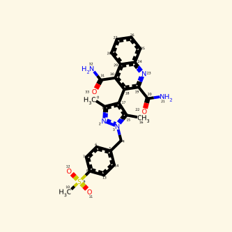 Cc1nn(Cc2ccc(S(C)(=O)=O)cc2)c(C)c1-c1c(C(N)=O)nc2ccccc2c1C(N)=O